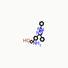 C[C@]1(O)C[C@@](N)(c2ccc(-c3nc4nc(-c5ccccc5)nn4cc3-c3ccccc3)cc2)C1